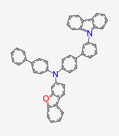 c1ccc(-c2ccc(N(c3ccc(-c4cccc(-n5c6ccccc6c6ccccc65)c4)cc3)c3ccc4c(c3)oc3ccccc34)cc2)cc1